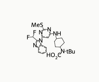 CSc1nc(NC2CCC(N(C(=O)O)C(C)(C)C)CC2)cc(-n2c(C(F)F)nc3ccccc32)n1